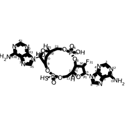 Nc1ncnc2c1ncn2[C@@H]1O[C@@H]2CO[P@](=O)(S)OC3C(O)[C@@H](COP(=O)(O)OC2C1F)O[C@H]3n1cnc2c(N)ncnc21